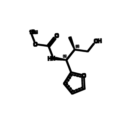 C[C@@H](CO)[C@H](NC(=O)OC(C)(C)C)c1ccco1